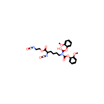 COc1ccccc1OC(=O)N(CCCCC(N=C=O)C(=O)OCCN=C=O)C(O)Oc1ccccc1OC